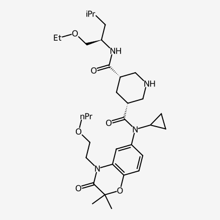 CCCOCCN1C(=O)C(C)(C)Oc2ccc(N(C(=O)[C@H]3CNC[C@@H](C(=O)N[C@@H](COCC)CC(C)C)C3)C3CC3)cc21